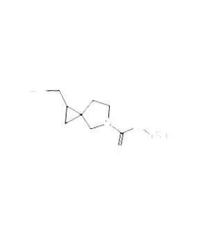 CC(C)(C)OC(=O)N1CCC2(CC2CO)C1